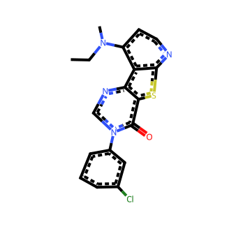 CCN(C)c1ccnc2sc3c(=O)n(-c4cccc(Cl)c4)cnc3c12